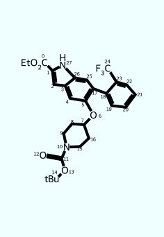 CCOC(=O)c1cc2cc(OC3CCN(C(=O)OC(C)(C)C)CC3)c(-c3ccccc3C(F)(F)F)cc2[nH]1